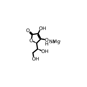 O=C1O[C@H]([C@@H](O)CO)C(O)=C1O.[Mg].[Na]